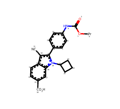 CC(C)OC(=O)Nc1ccc(-c2c(C#N)c3ccc(C(=O)O)cc3n2C2CCC2)cc1